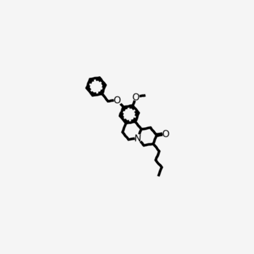 CCCCC1CN2CCc3cc(OCc4ccccc4)c(OC)cc3C2CC1=O